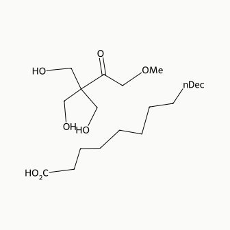 CCCCCCCCCCCCCCCCCC(=O)O.COCC(=O)C(CO)(CO)CO